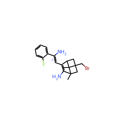 CC12CC3(CBr)CC(C(/C=C(\N)c4ccccc4F)=C1N)C32C